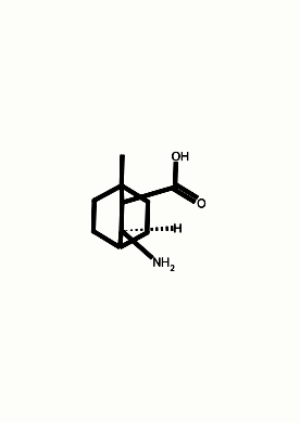 CC12CCC(CC1)[C@H](N)C2C(=O)O